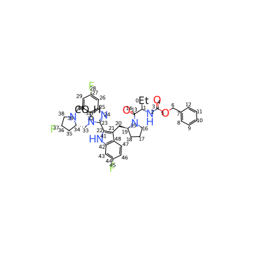 CCC(NC(=O)OCc1ccccc1)C(=O)N1CCC[C@H]1Cc1c(-c2nc3cc(F)ccc3n2C[C@@H]2C[C@H](F)CN2C(=O)O)[nH]c2cc(F)ccc12